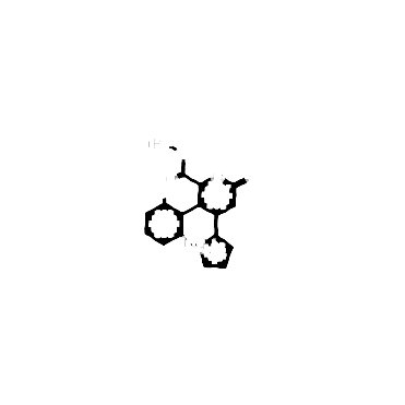 CC(C)(C)OC(=O)c1oc(=O)cc(-c2ccco2)c1-c1c(I)cccc1[N+](=O)[O-]